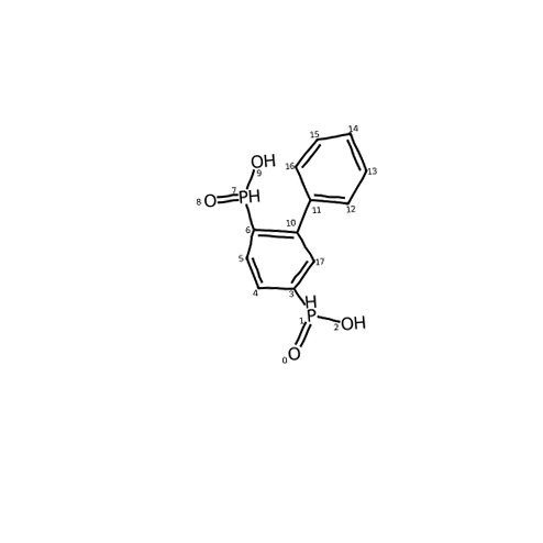 O=[PH](O)c1ccc([PH](=O)O)c(-c2ccccc2)c1